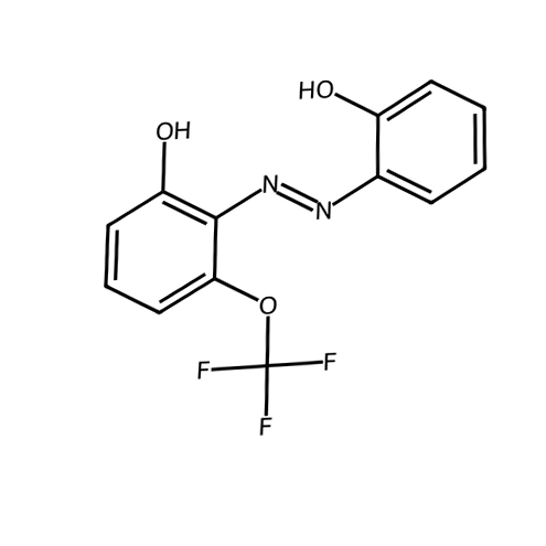 Oc1ccccc1N=Nc1c(O)cccc1OC(F)(F)F